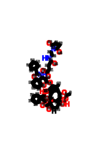 CC(=O)O[C@H]1C(=O)[C@@]2(C)[C@H]([C@H](OC(=O)c3ccccc3)[C@]3(O)C[C@H](OC(=O)[C@H](OC(=O)CCC(=O)NCCN4C(=O)C=CC4=O)[C@@H](NC(=O)c4ccccc4)c4ccccc4)C(C)=C1C3(C)C)[C@]1(OC(C)=O)CO[C@@H]1C[C@@H]2O